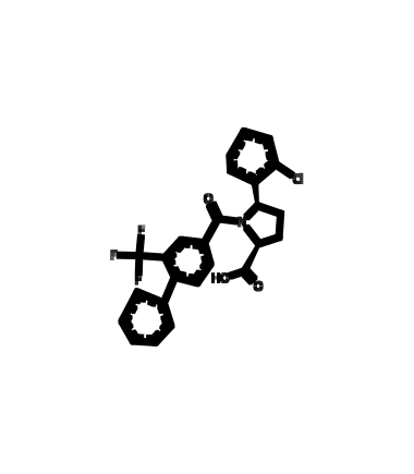 O=C(O)[C@@H]1CC[C@H](c2ccccc2Cl)N1C(=O)c1ccc(-c2ccccc2)c(C(F)(F)F)c1